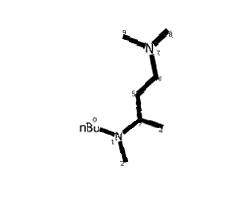 CCCCN(C)C(C)CCN(C)C